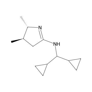 C[C@@H]1CC(NC(C2CC2)C2CC2)=N[C@H]1C